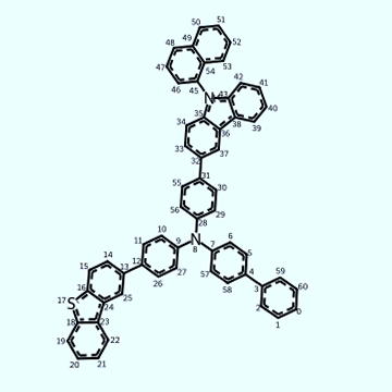 c1ccc(-c2ccc(N(c3ccc(-c4ccc5sc6ccccc6c5c4)cc3)c3ccc(-c4ccc5c(c4)c4ccccc4n5-c4cccc5ccccc45)cc3)cc2)cc1